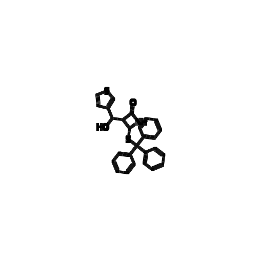 O=C1NC(SC(c2ccccc2)(c2ccccc2)c2ccccc2)C1C(O)c1ccsc1